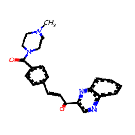 CN1CCN(C(=O)c2ccc(C=CC(=O)c3cnc4ccccc4n3)cc2)CC1